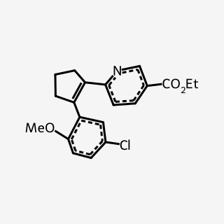 CCOC(=O)c1ccc(C2=C(c3cc(Cl)ccc3OC)CCC2)nc1